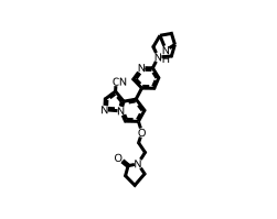 N#Cc1cnn2cc(OCCN3CCCC3=O)cc(-c3ccc(N4CC5CC(C4)N5)nc3)c12